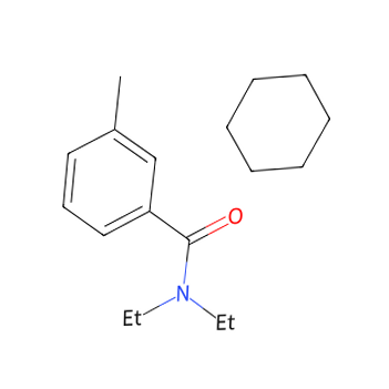 C1CCCCC1.CCN(CC)C(=O)c1cccc(C)c1